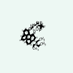 CCN(CC)CC.O=S(=O)(Np1oc2ccc3ccccc3c2c2c(ccc3ccccc32)o1)C(F)(F)F